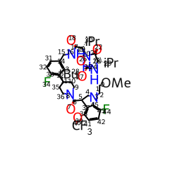 COCCN1CC(C(=O)N2CCC(c3cc(CNC(=O)[C@@H](NC(=O)[C@@H](NC(=O)OC(C)(C)C)C(C)C)C(C)C)ccc3F)CC2)c2c(OC(F)(F)F)ccc(F)c21